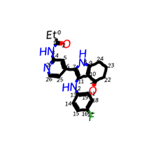 CCC(=O)Nc1cc(-c2[nH]c3c(c2Nc2ccc(F)cc2)C(=O)CCC3)ccn1